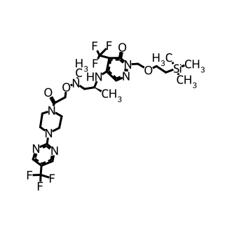 C[C@@H](CN(C)OCC(=O)N1CCN(c2ncc(C(F)(F)F)cn2)CC1)Nc1cnn(COCC[Si](C)(C)C)c(=O)c1C(F)(F)F